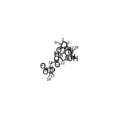 Cc1ccc2c3c1O[C@H]1C(OC(=O)C[C@H]4OC(C)(C)OC4=O)=CC[C@@]4(O)[C@@H](C2)N(C)CC[C@]314